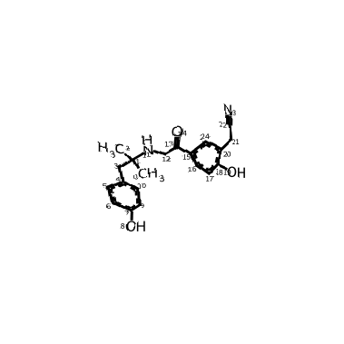 CC(C)(Cc1ccc(O)cc1)NCC(=O)c1ccc(O)c(CC#N)c1